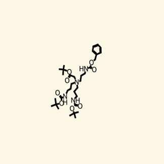 CC(C)(C)OC(=O)C[N+](CCCNC(=O)OCc1ccccc1)(CCCNC(=O)OC(C)(C)C)CCCNC(=O)OC(C)(C)C